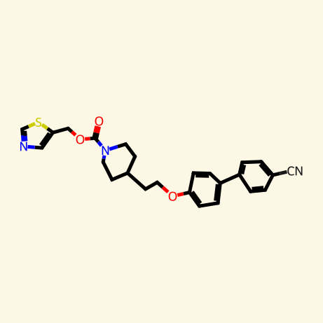 N#Cc1ccc(-c2ccc(OCCC3CCN(C(=O)OCc4cncs4)CC3)cc2)cc1